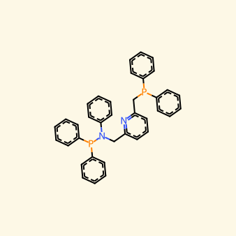 c1ccc(N(Cc2cccc(CP(c3ccccc3)c3ccccc3)n2)P(c2ccccc2)c2ccccc2)cc1